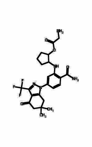 CC1(C)CC(=O)c2c(C(F)(F)F)nn(-c3ccc(C(N)=O)c(NC4CCCC4OC(=O)CN)c3)c2C1